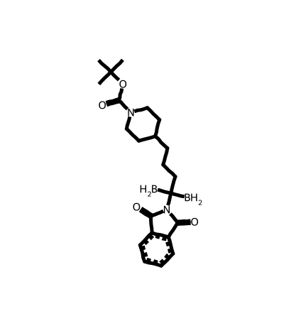 BC(B)(CCCC1CCN(C(=O)OC(C)(C)C)CC1)N1C(=O)c2ccccc2C1=O